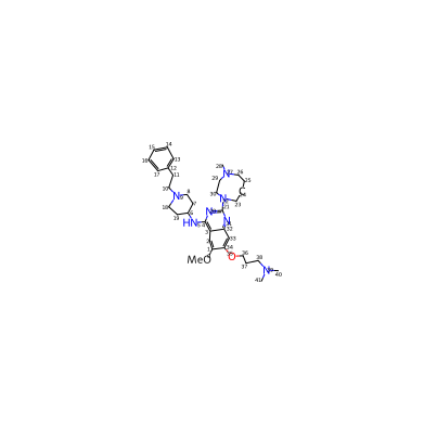 COc1cc2c(NC3CCN(CCc4ccccc4)CC3)nc(N3CCCCN(C)CC3)nc2cc1OCCCN(C)C